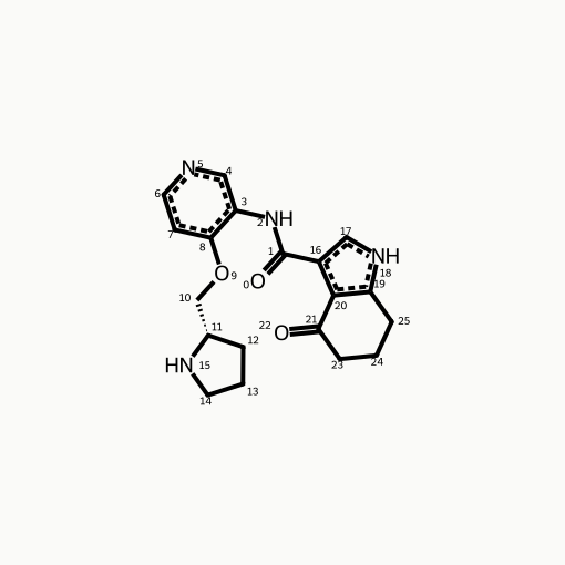 O=C(Nc1cnccc1OC[C@@H]1CCCN1)c1c[nH]c2c1C(=O)CCC2